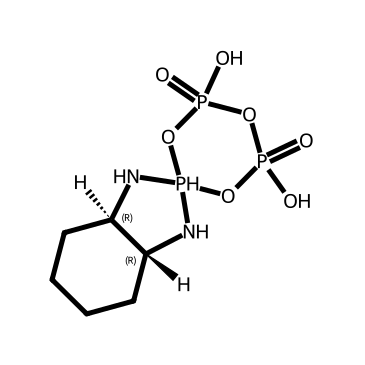 O=P1(O)OP(=O)(O)O[PH]2(N[C@@H]3CCCC[C@H]3N2)O1